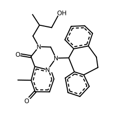 Cc1c2n(ccc1=O)N(C1c3ccccc3CCc3ccccc31)CN(CC(C)CO)C2=O